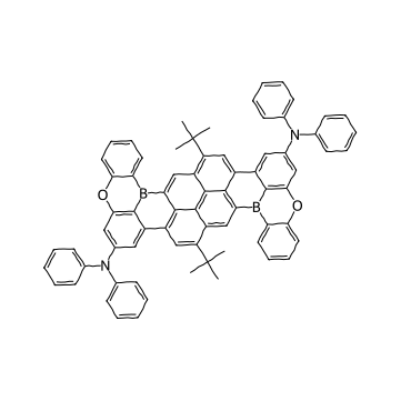 CC(C)(C)c1cc2c3c(cc4c(C(C)(C)C)cc5c6c(cc1c3c46)B1c3ccccc3Oc3cc(N(c4ccccc4)c4ccccc4)cc-5c31)B1c3ccccc3Oc3cc(N(c4ccccc4)c4ccccc4)cc-2c31